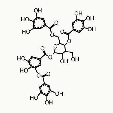 O=C(OCC1O[C@@H](OC(=O)c2cc(O)c(O)c(OC(=O)c3cc(O)c(O)c(O)c3)c2)C(O)[C@H](CO)C1OC(=O)c1cc(O)c(O)c(O)c1)c1cc(O)c(O)c(O)c1